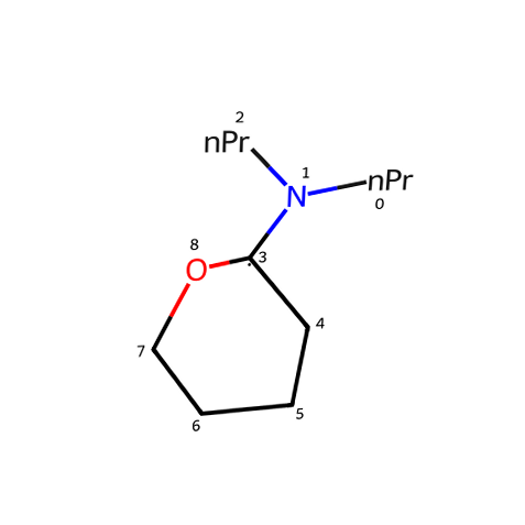 CCCN(CCC)[C]1CCCCO1